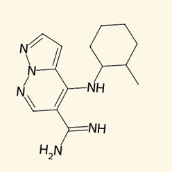 CC1CCCCC1Nc1c(C(=N)N)cnn2nccc12